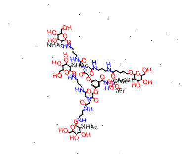 CCCOP(=O)(OC)ONC(=O)c1cc(OCC(=O)N(CC(=O)NCCCNOC2OC(CO)C(O)C(O)C2NC(C)=O)CC(=O)NCCCNOC2OC(CO)C(O)C(O)C2NC(C)=O)cc(OCC(=O)N(CC(=O)NCCCNOC2OC(CO)C(O)C(O)C2NC(C)=O)CC(=O)NCCCNC(=O)CCCCOC2OC(CO)C(O)C(O)C2NC(C)=O)c1